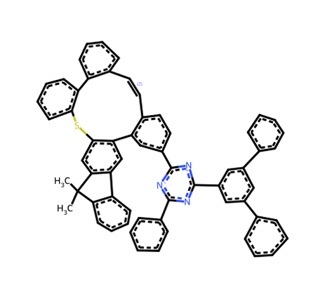 CC1(C)c2ccccc2-c2cc3c(cc21)Sc1ccccc1-c1ccccc1/C=C\c1ccc(-c2nc(-c4ccccc4)nc(-c4cc(-c5ccccc5)cc(-c5ccccc5)c4)n2)cc1-3